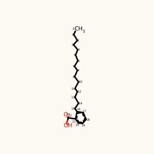 CCCCCCCCCCCCCCCCc1ccccc1C(=O)O